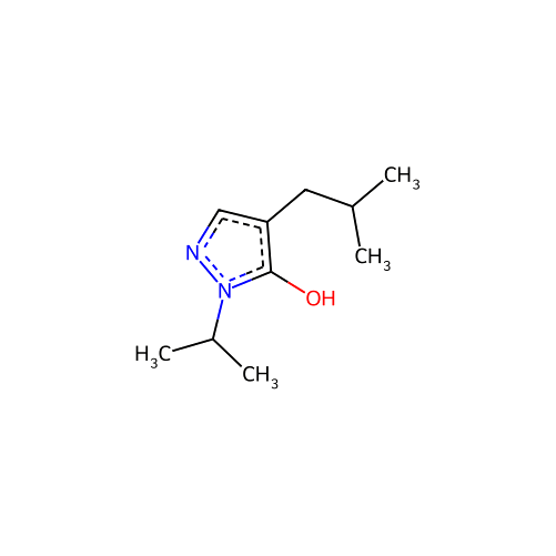 CC(C)Cc1cnn(C(C)C)c1O